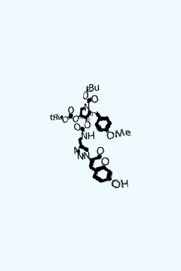 COc1ccc(C[C@@H]2[C@H](OC(=O)NCc3cn(-c4cc5ccc(O)cc5oc4=O)nn3)[C@@H](OC(=O)OC(C)(C)C)CN2C(=O)OC(C)(C)C)cc1